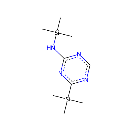 C[Si](C)(C)Nc1ncnc([Si](C)(C)C)n1